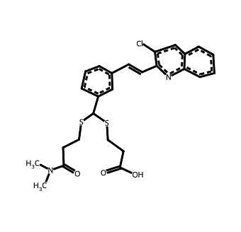 CN(C)C(=O)CCSC(SCCC(=O)O)c1cccc(/C=C/c2nc3ccccc3cc2Cl)c1